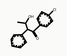 CC(O)C(C(=O)c1ccc(Cl)cc1)c1ccccc1